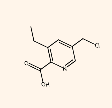 CCc1cc(CCl)cnc1C(=O)O